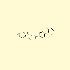 Cc1ccnnc1-c1ccc(C(=O)CN2C(=O)NC3(CCC(F)(F)CC3)C2=O)cc1